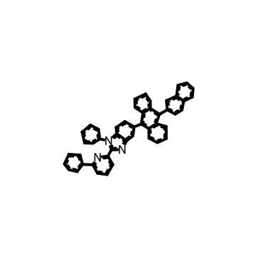 c1ccc(-c2cccc(-c3nc4cc(-c5c6ccccc6c(-c6ccc7ccccc7c6)c6ccccc56)ccc4n3-c3ccccc3)n2)cc1